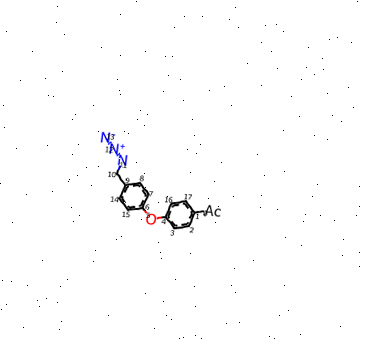 CC(=O)c1ccc(Oc2ccc(CN=[N+]=[N-])cc2)cc1